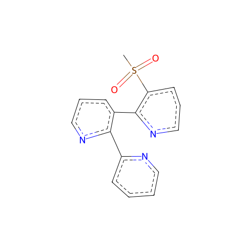 CS(=O)(=O)c1cccnc1-c1cccnc1-c1ccccn1